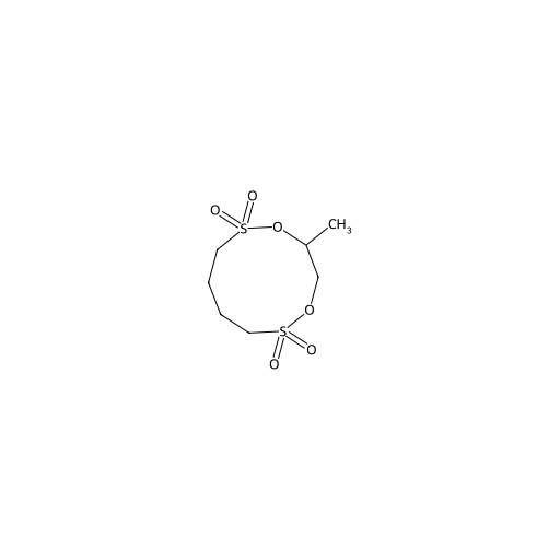 CC1COS(=O)(=O)CCCCS(=O)(=O)O1